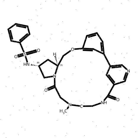 CN1CCNC(=O)c2cncc(c2)-c2cccc(c2)OC[C@@H]2C[C@@H](NS(=O)(=O)c3ccccc3)CN2C(=O)C1